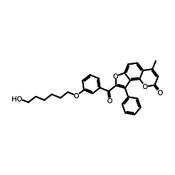 Cc1cc(=O)oc2c1ccc1oc(C(=O)c3cccc(OCCCCCCO)c3)c(-c3ccccc3)c12